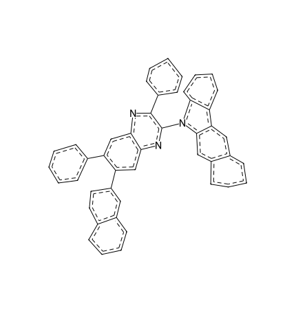 c1ccc(-c2cc3nc(-c4ccccc4)c(-n4c5ccccc5c5cc6ccccc6cc54)nc3cc2-c2ccc3ccccc3c2)cc1